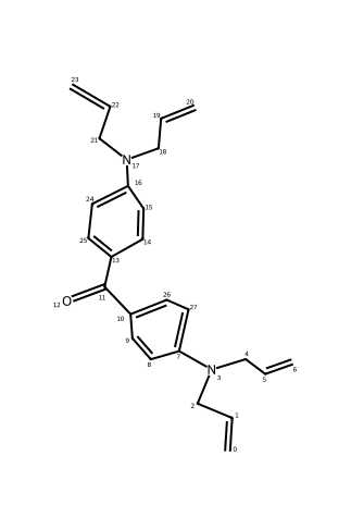 C=CCN(CC=C)c1ccc(C(=O)c2ccc(N(CC=C)CC=C)cc2)cc1